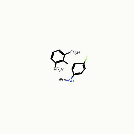 CC(C)Nc1ccc(F)cc1.Cc1c(C(=O)O)cccc1C(=O)O